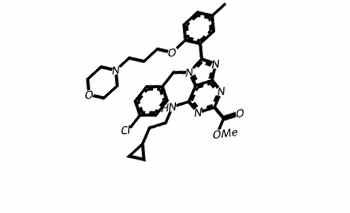 COC(=O)c1nc(NCCC2CC2)c2c(n1)nc(-c1cc(C)ccc1OCCCN1CCOCC1)n2Cc1ccc(Cl)cc1